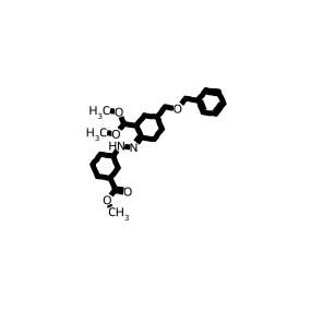 COC(=O)C1CCCC(NN=C2CCC(COCc3ccccc3)CC2C(OC)OC)C1